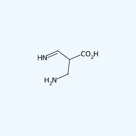 N=CC(CN)C(=O)O